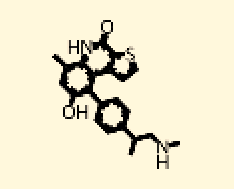 CNCC(C)c1ccc(-c2c(O)cc(C)c3[nH]c(=O)c4sccc4c23)cc1